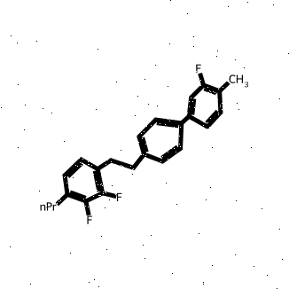 CCCc1ccc(CCc2ccc(-c3ccc(C)c(F)c3)cc2)c(F)c1F